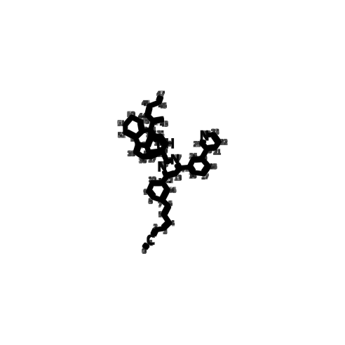 C=C=C/C=C\C=C\c1cccc(-c2cc(-c3cccc(-c4cccnc4)c3)nc(C3C=CC=C(/C4=C\C=C/CN/C=C(\C(=C)/C=C\C=C)C5=CCCC=C54)C3)n2)c1